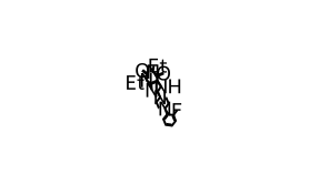 CCn1c(=O)c2[nH]c(N3CCN(c4ccccc4F)CC3)nc2n(CC)c1=O